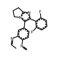 C=Nc1ccc(-c2c(-c3c(F)cccc3F)nc3n2CCC3)cc1/N=C\C